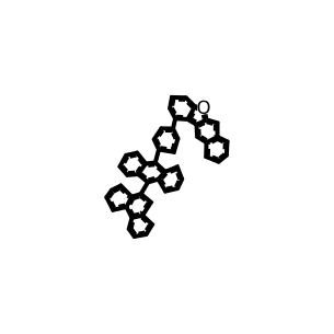 c1ccc2cc3c(cc2c1)oc1cccc(-c2ccc(-c4c5ccccc5c(-c5cc6ccccc6c6ccccc56)c5ccccc45)cc2)c13